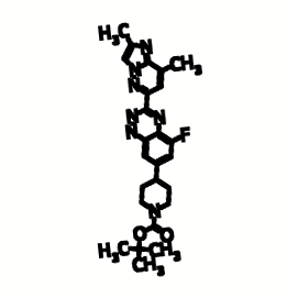 Cc1cn2nc(-c3nnc4cc(C5CCN(C(=O)OC(C)(C)C)CC5)cc(F)c4n3)cc(C)c2n1